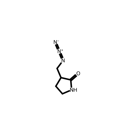 [N-]=[N+]=NCC1CCNC1=O